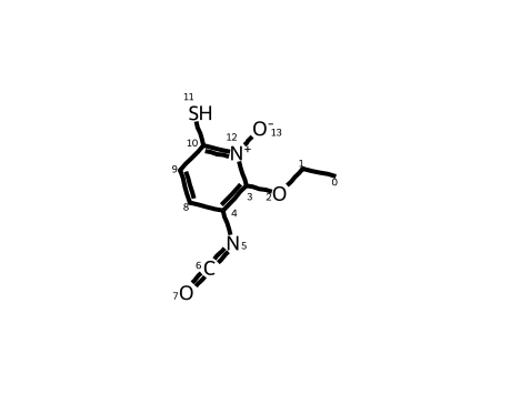 CCOc1c(N=C=O)ccc(S)[n+]1[O-]